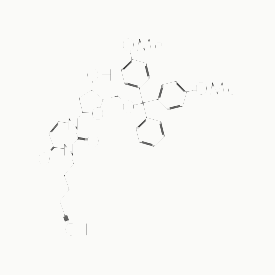 C#CCCCCn1c(=O)ccn([C@H]2C[C@H](O)[C@@H](COC(c3ccccc3)(c3ccc(OC)cc3)c3ccc(OC)cc3)O2)c1=O